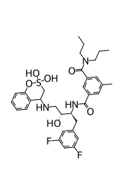 CCCN(CCC)C(=O)c1cc(C)cc(C(=O)N[C@@H](Cc2cc(F)cc(F)c2)[C@H](O)CNC2CS(O)(O)Oc3ccccc32)c1